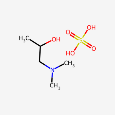 CC(O)CN(C)C.O=S(=O)(O)O